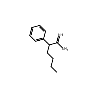 CCCCC(C(=N)N)c1ccccc1